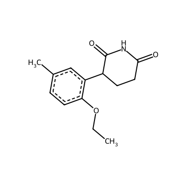 CCOc1ccc(C)cc1C1CCC(=O)NC1=O